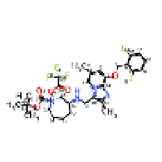 Cc1cc(OCc2c(F)cccc2F)c2nc(C)c(CNC3CCCC[N+](OC(=O)C(F)(F)F)(C(=O)OC(C)(C)C)C3)n2c1